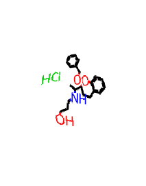 CC(NCCCO)C1(OCc2ccccc2)CCc2ccccc2O1.Cl